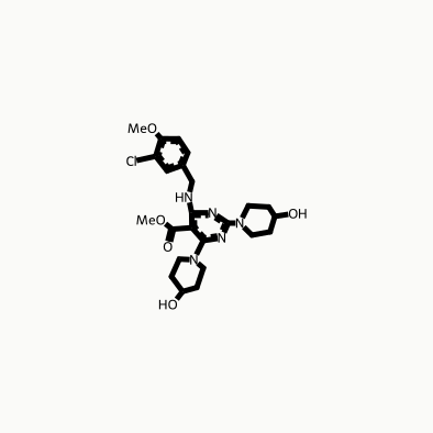 COC(=O)c1c(NCc2ccc(OC)c(Cl)c2)nc(N2CCC(O)CC2)nc1N1CCC(O)CC1